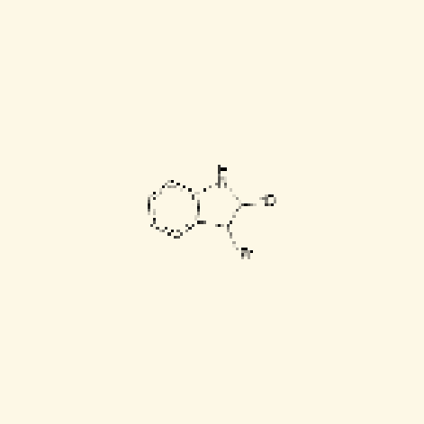 CC(C)C1C(=O)Nc2ccc[c]c21